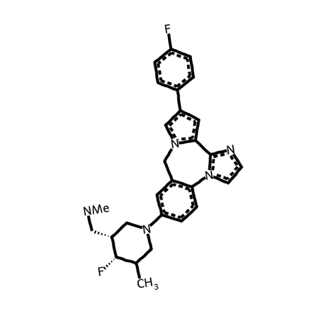 CNC[C@@H]1CN(c2ccc3c(c2)Cn2cc(-c4ccc(F)cc4)cc2-c2nccn2-3)CC(C)[C@@H]1F